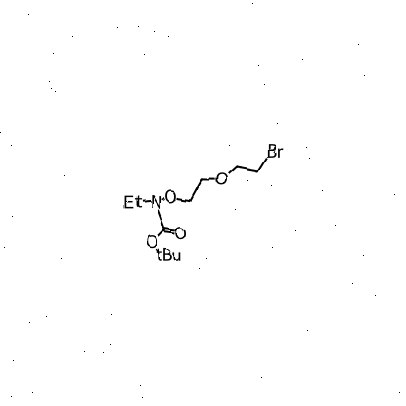 CCN(OCCOCCBr)C(=O)OC(C)(C)C